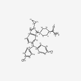 NC(=O)[C@H]1CC[C@@H](n2c(C3CC3)nc3ccc(C(c4ccc(Cl)cc4)c4ccc(Cl)cc4)cc32)CC1